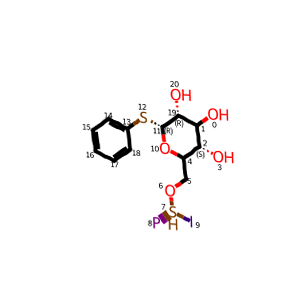 OC1[C@H](O)C(CO[SH](#P)I)O[C@H](Sc2ccccc2)[C@@H]1O